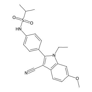 CCn1c(-c2ccc(NS(=O)(=O)C(C)C)cc2)c(C#N)c2ccc(OC)cc21